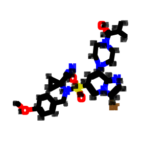 COc1ccc(CN(C2(C#N)CC2)S(=O)(=O)c2cc(N3CCN(C(=O)C(C)C)CC3)c3ncc(Br)n3c2)cc1